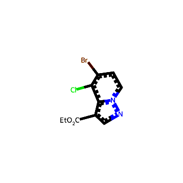 CCOC(=O)c1cnn2ccc(Br)c(Cl)c12